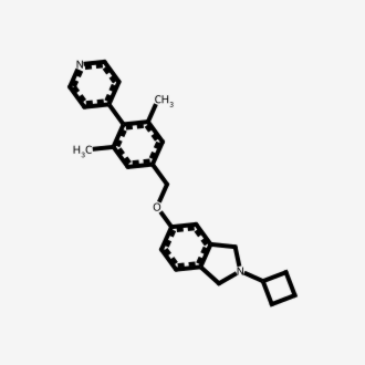 Cc1cc(COc2ccc3c(c2)CN(C2CCC2)C3)cc(C)c1-c1ccncc1